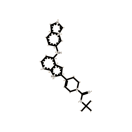 CC(C)(C)OC(=O)N1CC=C(c2cc3c(Nc4ccc5cncn5c4)ccnc3[nH]2)CC1